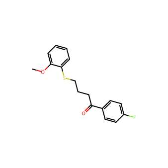 COc1ccccc1SCCCC(=O)c1ccc(F)cc1